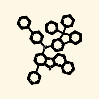 c1ccc(-c2ccc(N(c3ccc4c(c3)C(c3ccccc3)(c3ccccc3)c3ccccc3-4)c3ccc(-c4ccccc4)c4sc5c6ccccc6ccc5c34)cc2)cc1